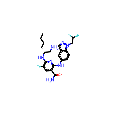 CCCC[C@H](CN)Nc1nc(Nc2ccc3c(cnn3CC(F)F)c2)c(C(N)=O)cc1F